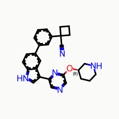 N#CC1(c2cccc(-c3ccc4[nH]cc(-c5cncc(O[C@@H]6CCCNC6)n5)c4c3)c2)CCC1